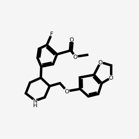 COC(=O)c1cc(C2CCNCC2COc2ccc3c(c2)OCO3)ccc1F